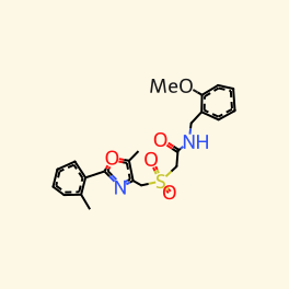 COc1ccccc1CNC(=O)CS(=O)(=O)Cc1nc(-c2ccccc2C)oc1C